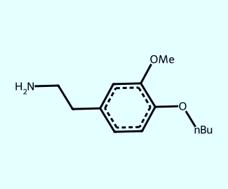 CCCCOc1ccc(CCN)cc1OC